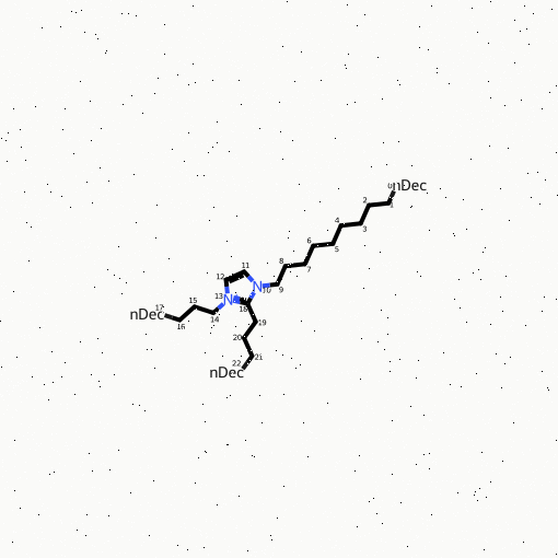 CCCCCCCCCCCCCCCCCCCn1cc[n+](CCCCCCCCCCCCC)c1CCCCCCCCCCCCC